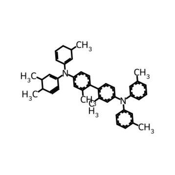 Cc1cccc(N(c2cccc(C)c2)c2ccc(-c3ccc(N(C4=CC(C)C(C)C#C4)C4=CC(C)CC=C4)cc3C)c(C)c2)c1